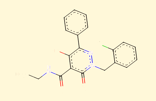 O=C(O)CNC(=O)c1c(O)c(-c2ccccc2)nn(Cc2ccccc2Cl)c1=O